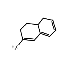 CC1=CC2=CC=CCC2CC1